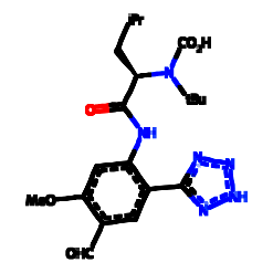 COc1cc(NC(=O)[C@@H](CC(C)C)N(C(=O)O)C(C)(C)C)c(-c2nn[nH]n2)cc1C=O